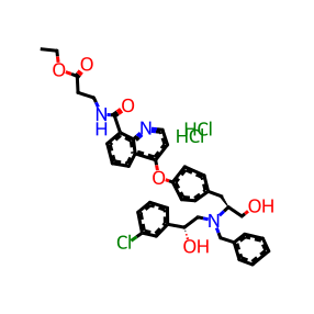 CCOC(=O)CCNC(=O)c1cccc2c(Oc3ccc(C[C@@H](CO)N(Cc4ccccc4)C[C@H](O)c4cccc(Cl)c4)cc3)ccnc12.Cl.Cl